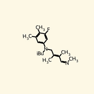 CCC(C)N(C/C(C)=C(C)/C=N\C)c1cc(C)c(C)c(F)c1